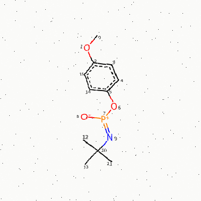 COc1ccc(O/[P+]([O-])=N/C(C)(C)C)cc1